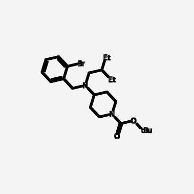 CCC(CC)CN(Cc1ccccc1Br)C1CCN(C(=O)OC(C)(C)C)CC1